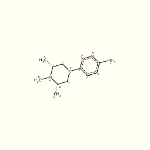 C[C@@H]1CN(c2ccc(N)nn2)C[C@H](C)N1C